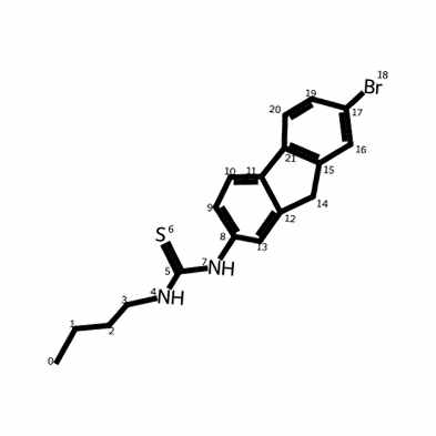 CCCCNC(=S)Nc1ccc2c(c1)Cc1cc(Br)ccc1-2